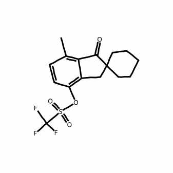 Cc1ccc(OS(=O)(=O)C(F)(F)F)c2c1C(=O)C1(CCCCC1)C2